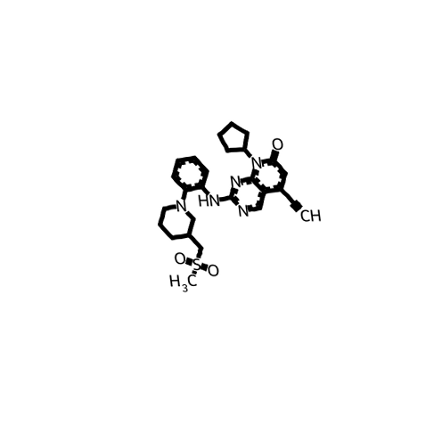 C#Cc1cc(=O)n(C2CCCC2)c2nc(Nc3ccccc3N3CCCC(CS(C)(=O)=O)C3)ncc12